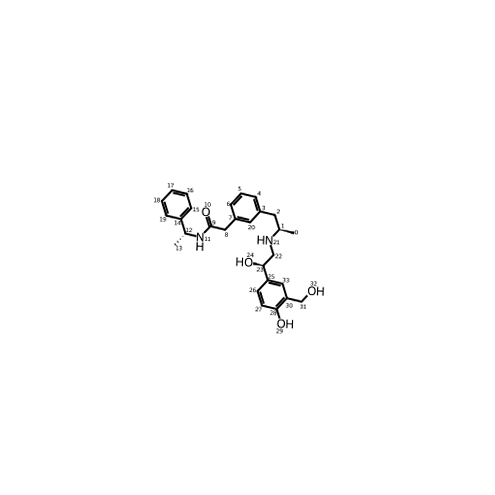 C[C@H](Cc1cccc(CC(=O)N[C@H](C)c2ccccc2)c1)NC[C@H](O)c1ccc(O)c(CO)c1